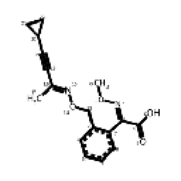 CO/N=C(/C(=O)O)c1ccccc1CO/N=C(\C)C#CC1CC1